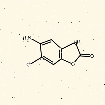 Nc1cc2[nH]c(=O)oc2cc1Cl